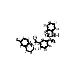 Cc1ccc2c(c1)CCCN2C(=O)c1cccc(S(=O)(=O)Nc2ccccc2F)c1